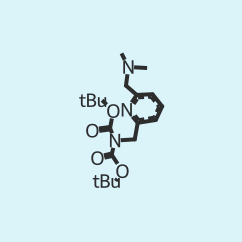 CN(C)Cc1cccc(CN(C(=O)OC(C)(C)C)C(=O)OC(C)(C)C)n1